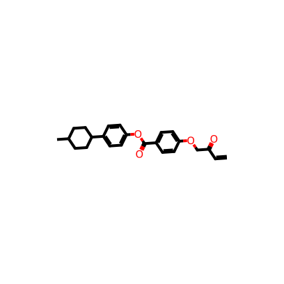 C=CC(=O)COc1ccc(C(=O)Oc2ccc(C3CCC(C)CC3)cc2)cc1